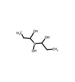 CCC(O)N(O)C(O)CC